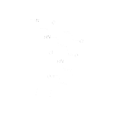 CN(C)CC(=O)Nc1ccc(Cl)c(C(=O)Nc2cccc3c4c(oc23)CCCC4)c1Cl